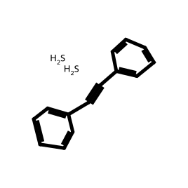 C(#Cc1ccccc1)c1ccccc1.S.S